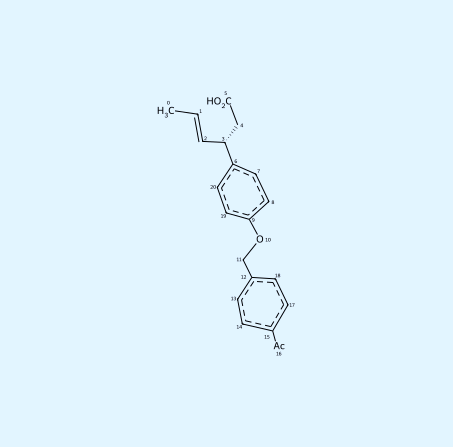 CC=C[C@H](CC(=O)O)c1ccc(OCc2ccc(C(C)=O)cc2)cc1